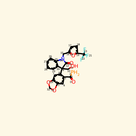 O=C(P)c1cc2c(cc1C1(CO)C(=O)N(Cc3ccc(C(F)(F)F)o3)c3ccccc31)OCO2